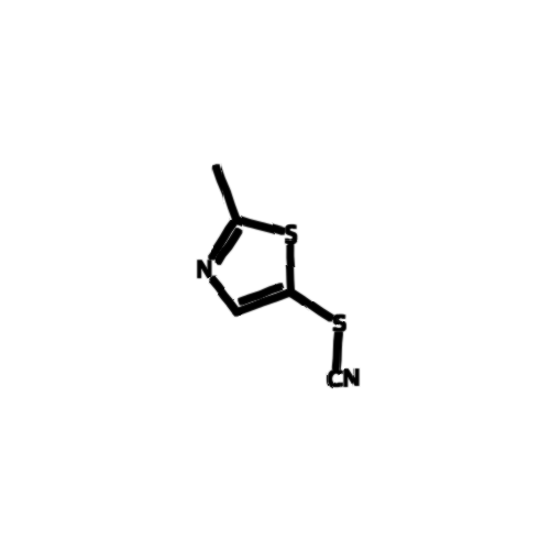 Cc1ncc(SC#N)s1